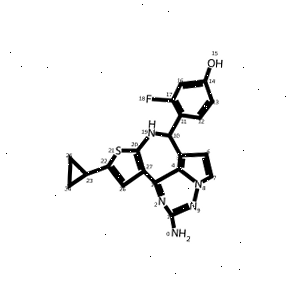 Nc1nc2c3c(ccn3n1)C(c1ccc(O)cc1F)Nc1sc(C3CC3)cc1-2